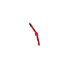 CCCCCCCCCCCCCCCN1C=CN(CCCCCCCCCCCCCC)C1C